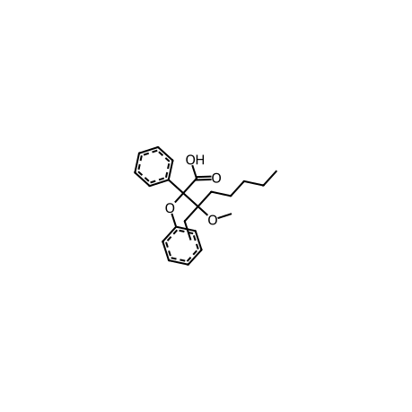 CCCCCC(CC)(OC)C(Oc1ccccc1)(C(=O)O)c1ccccc1